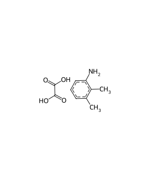 Cc1cccc(N)c1C.O=C(O)C(=O)O